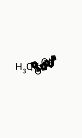 Cc1cccc([S+]([O-])c2ccc3c(c2)OCC2C3CCN2C2=CC=C2)n1